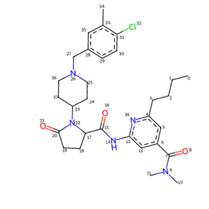 CCCCc1cc(C(=O)N(C)C)cc(NC(=O)C2CCC(=O)N2C2CCN(Cc3ccc(Cl)c(C)c3)CC2)n1